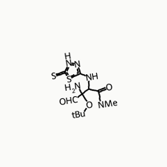 CNC(=O)C(Nc1n[nH]c(=S)s1)C(N)(C=O)OC(C)(C)C